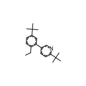 CCc1ccc(C(C)(C)C)cc1-c1ccc(C(C)(C)C)nc1